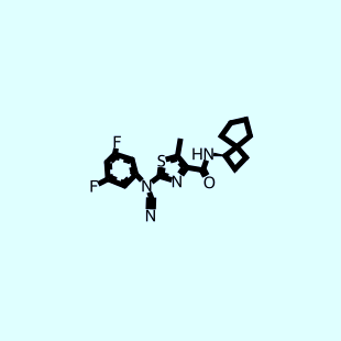 Cc1sc(N(C#N)c2cc(F)cc(F)c2)nc1C(=O)N[C@@H]1CCC12CCCC2